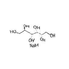 OC[C@@H](O)[C@@H](O)[C@H](O)[C@@H](O)CO.[NaH]